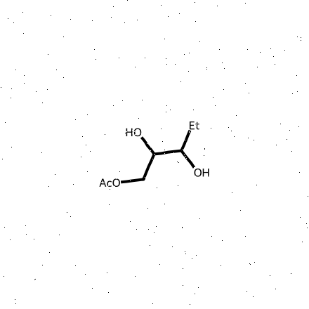 CCC(O)C(O)COC(C)=O